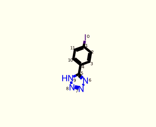 Ic1ccc(-c2nnn[nH]2)cc1